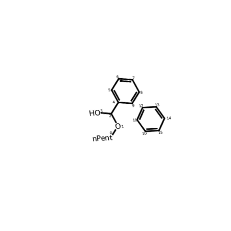 CCCCCOC(O)c1ccccc1.c1ccccc1